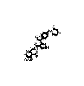 COCC(c1ccc(Cn2ccccc2=O)cc1)c1n[nH]cc1C(=O)NCc1nccc(OC)c1C(F)F